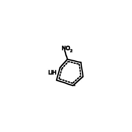 O=[N+]([O-])c1cc[c]cc1.[LiH]